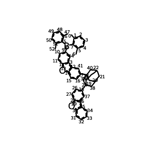 Cc1cccc(C)c1B(c1ccc2oc3ccc(C45CC6CC(CC(c7ccc8oc9ccccc9c8c7)(C6)C4)C5)cc3c2c1)c1c(C)cccc1C